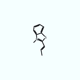 CC=Cc1sc2ccccc2[n+]1C